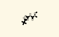 CON(C)C(=O)Nc1noc(C(C)(C)C)n1